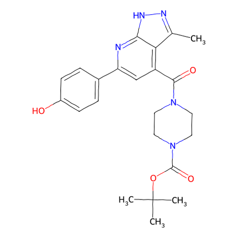 Cc1n[nH]c2nc(-c3ccc(O)cc3)cc(C(=O)N3CCN(C(=O)OC(C)(C)C)CC3)c12